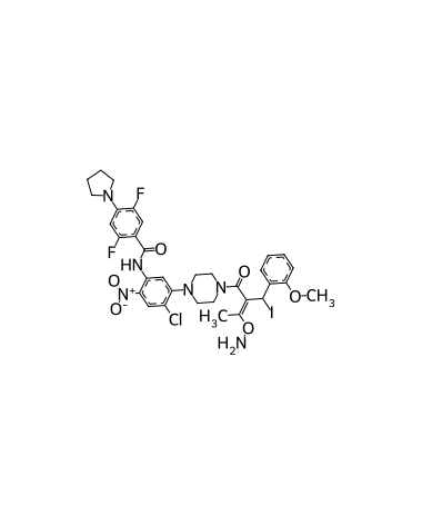 COc1ccccc1C(I)/C(C(=O)N1CCN(c2cc(NC(=O)c3cc(F)c(N4CCCC4)cc3F)c([N+](=O)[O-])cc2Cl)CC1)=C(/C)ON